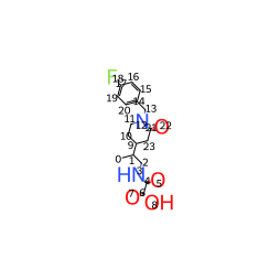 CC(CNC(=O)C(=O)O)C1CCN(Cc2ccc(F)cc2)C(=O)C1